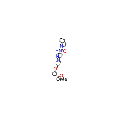 COC(=O)c1cccc(OCC2CCN(c3ccc(NC(=O)c4ccc5ccccc5n4)cn3)CC2)c1